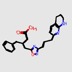 O=C(O)CC(Cc1ccccc1)Cc1nc(CCCc2ccc3c(n2)NCCC3)no1